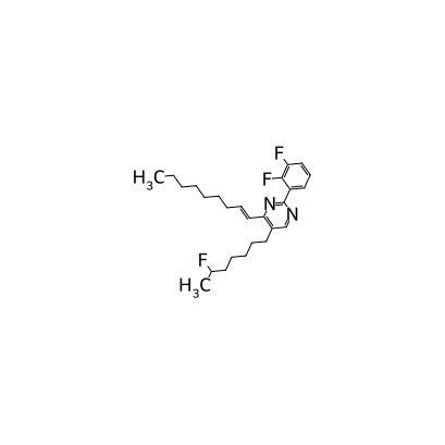 CCCCCCCC=Cc1nc(-c2cccc(F)c2F)ncc1CCCCCC(C)F